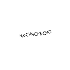 Cc1ccc(N=Nc2ccc(N=Nc3ccc(N4CCCC4)cc3)cc2)cc1